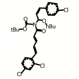 CCCCOC(/C=C\c1ccc(Cl)cc1)N(C(=O)/C=C/C=C/c1ccc(Cl)cc1Cl)C(=O)OC(C)(C)C